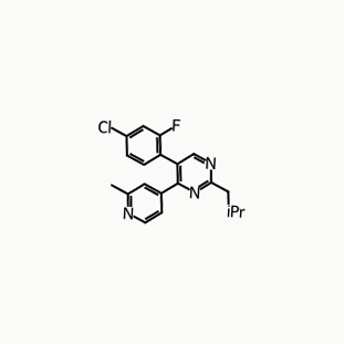 Cc1cc(-c2nc(CC(C)C)ncc2-c2ccc(Cl)cc2F)ccn1